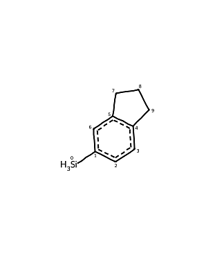 [SiH3]c1ccc2c(c1)CCC2